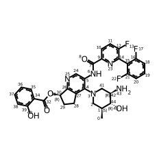 C[C@H]1CN(c2c(NC(=O)c3ccc(F)c(-c4c(F)cccc4F)n3)cnc3c2CC[C@H]3OC(=O)c2ccccc2O)C[C@@H](N)[C@@H]1O